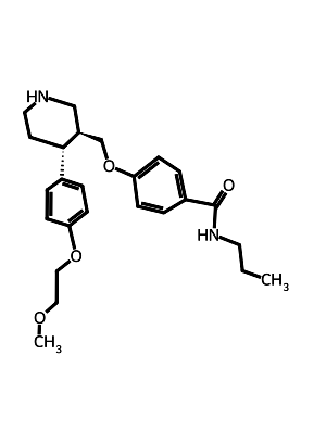 CCCNC(=O)c1ccc(OC[C@@H]2CNCC[C@H]2c2ccc(OCCOC)cc2)cc1